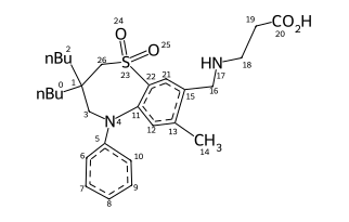 CCCCC1(CCCC)CN(c2ccccc2)c2cc(C)c(CNCCC(=O)O)cc2S(=O)(=O)C1